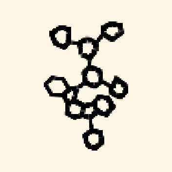 c1ccc(-c2cc(-c3nc(-c4ccccc4)nc(-c4ccccc4)n3)cc(-n3c4c(c5ccc6c(c7ccccc7n6-c6ccccc6)c53)CCCC4)c2)cc1